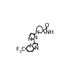 O=C1NCC12CCCN(c1ccnc(-c3cnc4ccc(C(F)(F)F)cn34)n1)C2